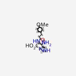 COc1ccc(CCC(=O)N[C@@H](C(=O)O)[C@H](N)c2c[nH]cn2)cc1